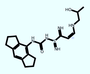 CC(O)CN/C=C\C(=N)S(=N)NC(=O)Nc1c2c(cc3c1CCC3)CCC2